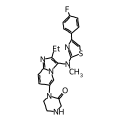 CCc1nc2ccc(N3CCNCC3=O)cn2c1N(C)c1nc(-c2ccc(F)cc2)cs1